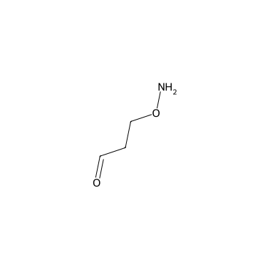 NOCCC=O